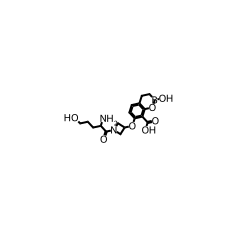 NC(CCCO)C(=O)N1CC(Oc2ccc3c(c2C(=O)O)OB(O)CC3)C1